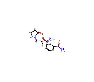 NC(=O)C1=CC=CC(CCCN2CCCC2=O)(C(N)=O)C1